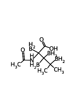 BC(C)(C)C(B)(B)C(B)(NC(C)=O)C(=O)O